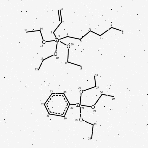 C=C[CH2][Zr]([CH2]CCCCC)([O]CC)([O]CC)[O]CC.CC[O][Zr]([O]CC)([O]CC)[c]1ccccc1